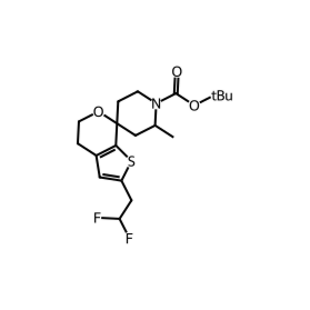 CC1CC2(CCN1C(=O)OC(C)(C)C)OCCc1cc(CC(F)F)sc12